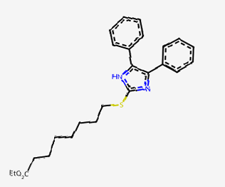 CCOC(=O)CCCCCCCSc1nc(-c2ccccc2)c(-c2ccccc2)[nH]1